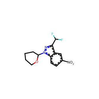 O=[N+]([O-])c1ccc2c(c1)c(C(F)F)nn2C1CCCCO1